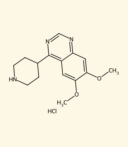 COc1cc2ncnc(C3CCNCC3)c2cc1OC.Cl